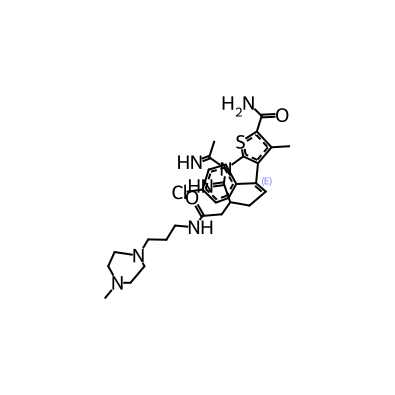 CC(=N)N1C(=N)C(CC(=O)NCCCN2CCN(C)CC2)C/C=C(\c2ccc(Cl)cc2)c2c1sc(C(N)=O)c2C